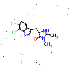 C=C1NC(Cc2c[nH]c3c(Cl)c(Cl)ccc23)C(=O)N1C